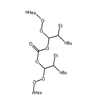 CCCCCCOOC(OC(=O)OC(OOCCCCCC)C(CC)CCCC)C(CC)CCCC